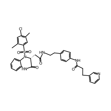 Cc1cc(S(=O)(=O)N2c3ccccc3NC(=O)[C@H]2CC(=O)NCCc2ccc(NC(=O)CCc3cccnc3)cc2)c(C)cc1Cl